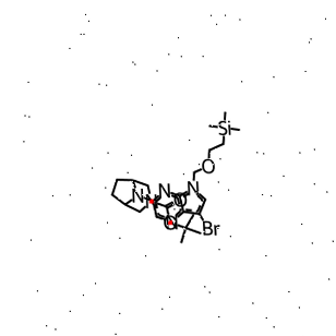 CC(C)(C)OC(=O)N1CC2CCC(C1)N2c1cnc2c(Br)cn(COCC[Si](C)(C)C)c2n1